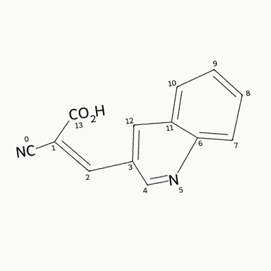 N#CC(=Cc1cnc2ccccc2c1)C(=O)O